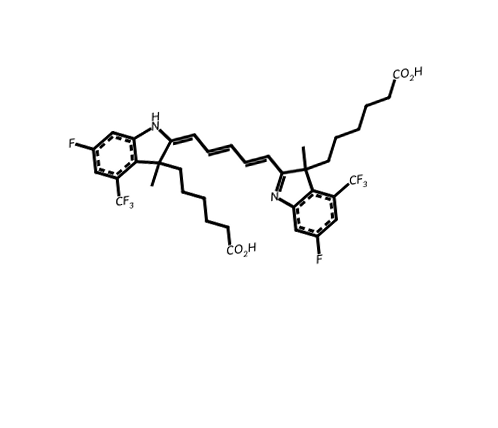 CC1(CCCCCC(=O)O)C(/C=C/C=C/C=C2/Nc3cc(F)cc(C(F)(F)F)c3C2(C)CCCCCC(=O)O)=Nc2cc(F)cc(C(F)(F)F)c21